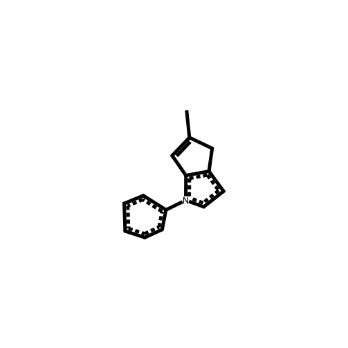 CC1=Cc2c(ccn2-c2ccccc2)C1